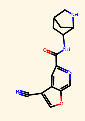 N#Cc1coc2cnc(C(=O)NC3CC4CNC3C4)cc12